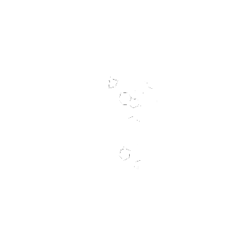 Cn1cc(-c2ccc3c(C(=O)N[C@H]4CC[C@H](Oc5ncccc5C(N)=O)CC4)nn(C(C)(C)C(N)=O)c3c2)cn1